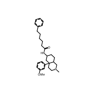 COc1cccc(C23CCN(C)CC2CCC(NC(=O)CCCCCc2ccccc2)C3)c1